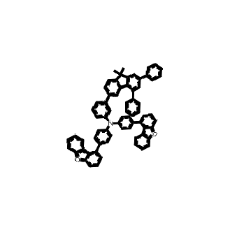 CC1(C)c2ccc(-c3cccc(N(c4ccc(-c5cccc6oc7ccccc7c56)cc4)c4ccc(-c5cccc6oc7ccccc7c56)cc4)c3)cc2-c2c(-c3ccccc3)cc(-c3ccccc3)cc21